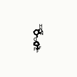 FC(F)(F)c1ccc(OCC2CCCc3[nH]cnc32)cc1